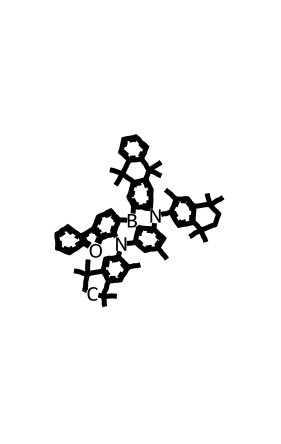 Cc1cc2c3c(c1)N(c1cc4c(cc1C)C(C)(C)CCC4(C)C)c1c(ccc4c1oc1ccccc14)B3c1cc3c(cc1N2c1cc2c(cc1C)C(C)(C)CCC2(C)C)C(C)(C)c1ccccc1C3(C)C